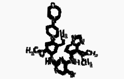 CCc1cc(Nc2ncc(Br)c(Nc3ccn4ncnc4c3P(C)C)n2)c(OC)cc1N1CCC(N2CCOCC2)CC1